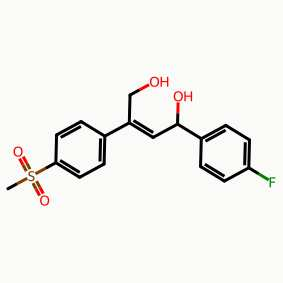 CS(=O)(=O)c1ccc(C(=CC(O)c2ccc(F)cc2)CO)cc1